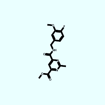 COC(=O)c1cc(C(=O)NCc2ccc(F)c(OC)c2)nc(C)n1